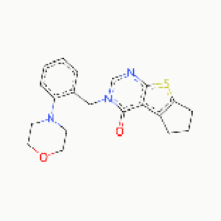 O=c1c2c3c(sc2ncn1Cc1ccccc1N1CCOCC1)CCC3